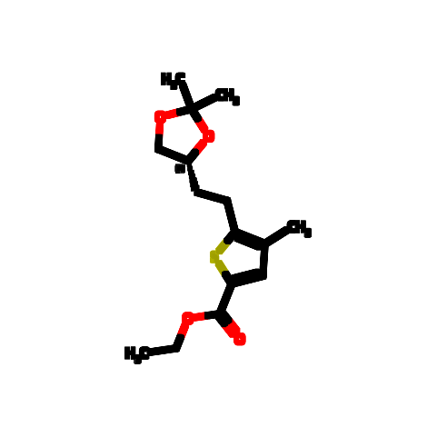 CCOC(=O)c1cc(C)c(CC[C@@H]2COC(C)(C)O2)s1